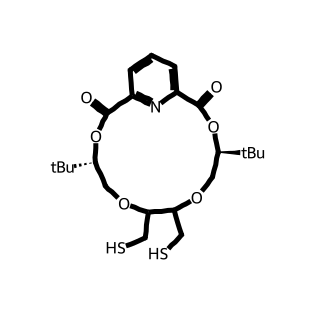 CC(C)(C)[C@H]1COC(CS)C(CS)OC[C@H](C(C)(C)C)OC(=O)c2cccc(n2)C(=O)O1